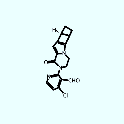 O=Cc1c(Cl)ccnc1N1CCn2c(cc3c2C2CC[C@H]32)C1=O